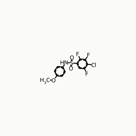 COc1ccc(NS(=O)(=O)c2cc(F)c(Cl)c(F)c2F)cc1